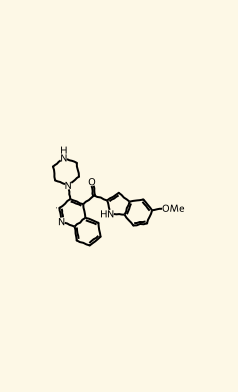 COc1ccc2[nH]c(C(=O)c3c(N4CCNCC4)[c]nc4ccccc34)cc2c1